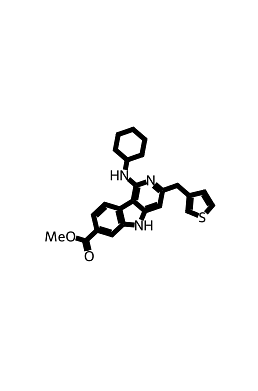 COC(=O)c1ccc2c(c1)[nH]c1cc(Cc3ccsc3)nc(NC3CCCCC3)c12